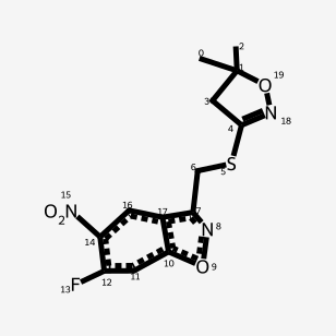 CC1(C)CC(SCc2noc3cc(F)c([N+](=O)[O-])cc23)=NO1